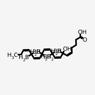 BC(B)(/C=C\CC)/C=C\C(B)(B)/C=C\C(B)(B)/C=C\C(B)(O)/C=C\CCCC(=O)O